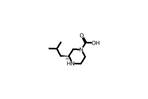 CC(C)C[C@H]1CN(C(=O)O)CCN1